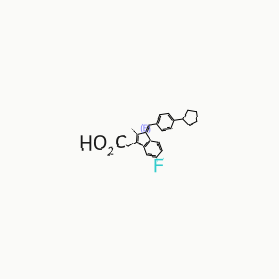 CC1=C(CC(=O)O)c2cc(F)ccc2/C1=C\c1ccc(C2CCCC2)cc1